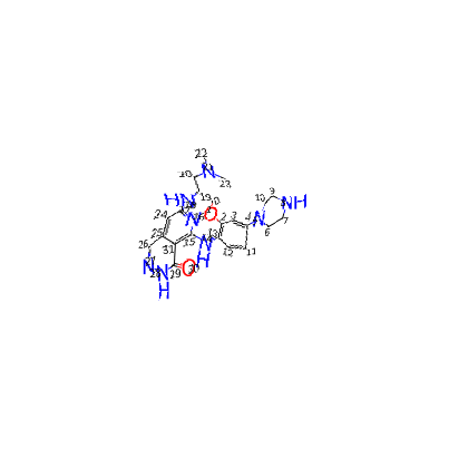 COc1cc(N2CCNCC2)ccc1Nc1nc(NCCN(C)C)cc2cn[nH]c(=O)c12